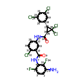 Nc1ccc(F)c(NC(=O)c2cc(NC(=O)[C@H]3[C@H](c4cc(Cl)cc(Cl)c4)C3(Cl)Cl)ccc2Cl)c1F